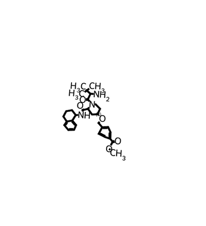 COC(=O)c1ccc(CO[C@@H]2CCN(C(=O)C(N)C(C)(C)C)C(C(=O)NC3CCCc4ccccc43)C2)cc1